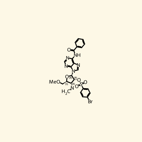 C=N[C@H]1[C@@H](OS(=O)(=O)c2ccc(Br)cc2)[C@H](n2cnc3c(NC(=O)c4ccccc4)ncnc32)O[C@@H]1COC